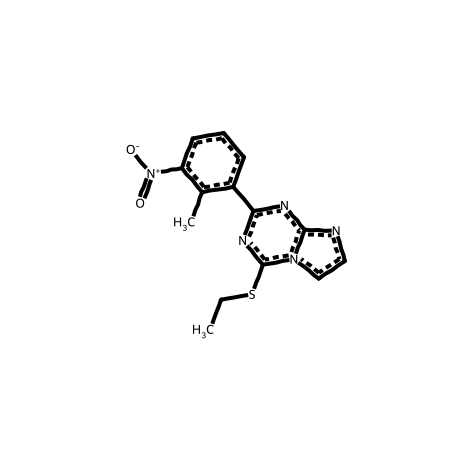 CCSc1nc(-c2cccc([N+](=O)[O-])c2C)nc2nccn12